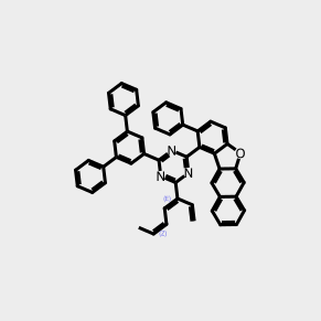 C=C/C(=C\C=C/C)c1nc(-c2cc(-c3ccccc3)cc(-c3ccccc3)c2)nc(-c2c(-c3ccccc3)ccc3oc4cc5ccccc5cc4c23)n1